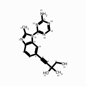 Cc1nc2ccc(C#CC(C)(O)CO)cc2n1-c1ncnc(N)n1